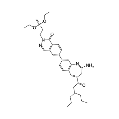 C=P(CCn1ncc2cc(-c3ccc4c(c3)N=C(N)CC(C(=O)CC(CCC)CCC)=C4)ccc2c1=O)(OCC)OCC